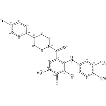 COc1ccc(Nc2c(C(=O)N3CCC(c4ccc(F)cc4)CC3)cn(C)c(=O)c2Cl)cc1C